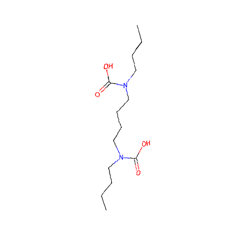 CCCCN(CCCCN(CCCC)C(=O)O)C(=O)O